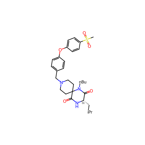 CCCCN1C(=O)[C@H](CC(C)C)NC(=O)C12CCN(Cc1ccc(Oc3ccc(S(C)(=O)=O)cc3)cc1)CC2